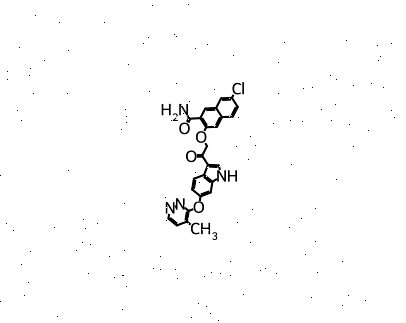 Cc1ccnnc1Oc1ccc2c(C(=O)COc3cc4ccc(Cl)cc4cc3C(N)=O)c[nH]c2c1